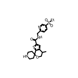 CCS(=O)(=O)c1ccc(CNC(=O)c2cc3c(s2)C2(CCNCC2)OCC3C)nc1